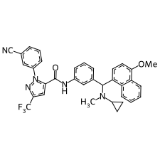 COc1ccc(C(c2cccc(NC(=O)c3cc(C(F)(F)F)nn3-c3cccc(C#N)c3)c2)N(C)C2CC2)c2ccccc12